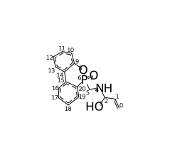 C=CC(O)NCP1(=O)Oc2ccccc2-c2ccccc21